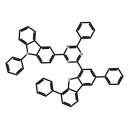 c1ccc(-c2cc(-c3nc(-c4ccccc4)nc(-c4ccc5c(c4)c4ccccc4n5-c4ccccc4)n3)c3sc4c(-c5ccccc5)cccc4c3c2)cc1